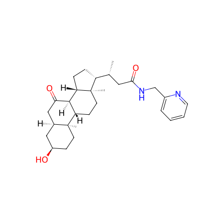 C[C@H](CC(=O)NCc1ccccn1)[C@H]1CC[C@H]2[C@@H]3C(=O)C[C@@H]4C[C@H](O)CC[C@]4(C)[C@H]3CC[C@]12C